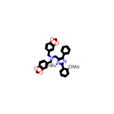 CCCCn1c(-c2ccccc2OC)nc(-c2ccccc2)c1CN(Cc1ccc2c(c1)OCO2)Cc1ccc2c(c1)OCO2